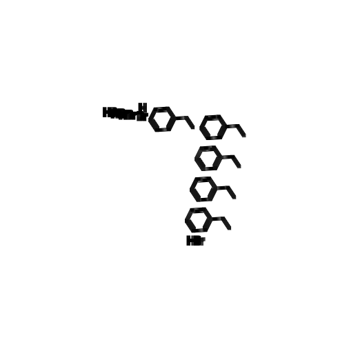 Br.Br.Br.Br.Br.CCc1ccccc1.CCc1ccccc1.CCc1ccccc1.CCc1ccccc1.CCc1ccccc1